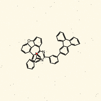 c1ccc(-c2nc(-c3cccc(-c4ccc5c6ccccc6c6ccccc6c5c4)c3)nc(-c3cccc4oc5cccc(-c6ccccc6)c5c34)n2)cc1